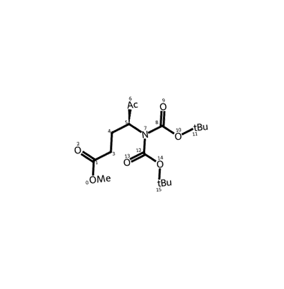 COC(=O)CC[C@@H](C(C)=O)N(C(=O)OC(C)(C)C)C(=O)OC(C)(C)C